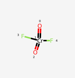 [O]=[Cr](=[O])([F])[F]